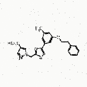 O=C(O)c1cnn(Cc2nc(-c3cc(OCCc4ccccc4)cc(C(F)(F)F)c3)cs2)c1